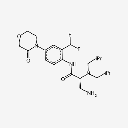 CC(C)CN(CC(C)C)[C@@H](CN)C(=O)Nc1ccc(N2CCOCC2=O)cc1C(F)F